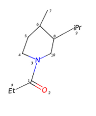 CCC(=O)N1CCC(C)C(C(C)C)C1